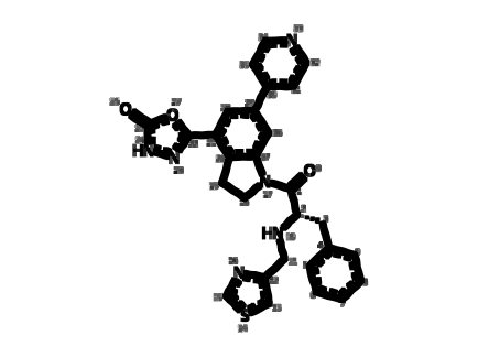 O=C([C@H](Cc1ccccc1)NCc1cscn1)N1CCc2c(-c3n[nH]c(=O)o3)cc(-c3ccncc3)cc21